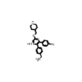 CC(=O)c1ccc(-c2nc(OCC3CCNCC3)cnc2-c2ccc(CN)cc2)cc1.Cl